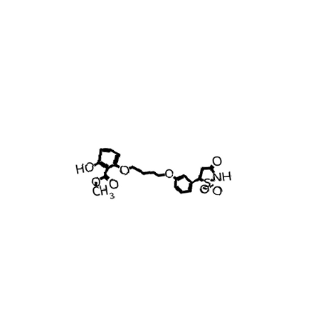 COC(=O)c1c(O)cccc1OCCCCOc1cccc(C2CC(=O)NS2(=O)=O)c1